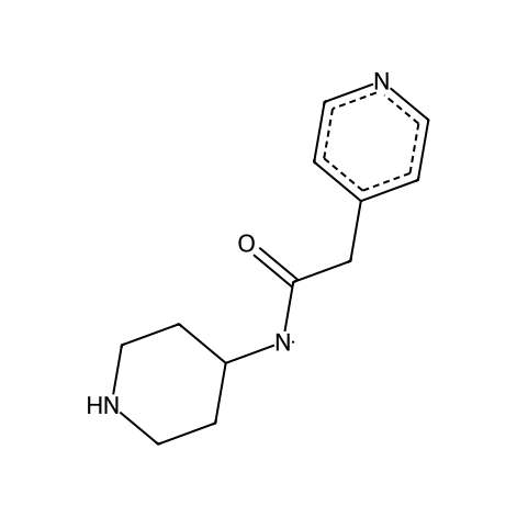 O=C(Cc1ccncc1)[N]C1CCNCC1